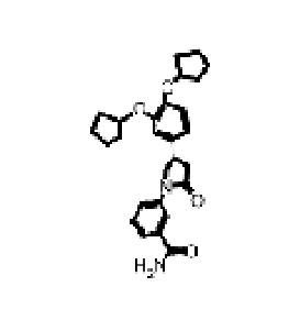 NC(=O)c1cccc(N2C[C@H](c3ccc(OC4CCCC4)c(OC4CCCC4)c3)CC2=O)c1